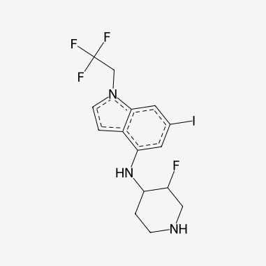 FC1CNCCC1Nc1cc(I)cc2c1ccn2CC(F)(F)F